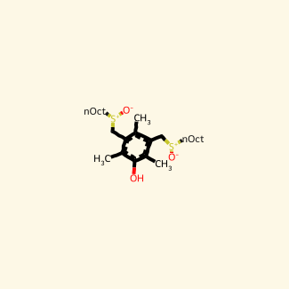 CCCCCCCC[S+]([O-])Cc1c(C)c(O)c(C)c(C[S+]([O-])CCCCCCCC)c1C